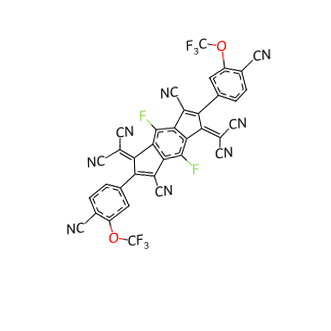 N#CC(C#N)=C1C(c2ccc(C#N)c(OC(F)(F)F)c2)=C(C#N)c2c(F)c3c(c(F)c21)C(C#N)=C(c1ccc(C#N)c(OC(F)(F)F)c1)C3=C(C#N)C#N